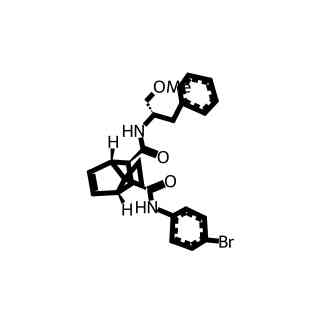 COC[C@H](Cc1ccccc1)NC(=O)[C@H]1[C@H](C(=O)Nc2ccc(Br)cc2)[C@@H]2C=C[C@H]1C21CC1